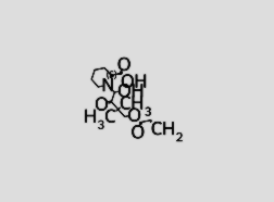 C=CC(=O)OCC(C)(C)C(=O)C(O)N1CCCC[C@H]1C(=O)O